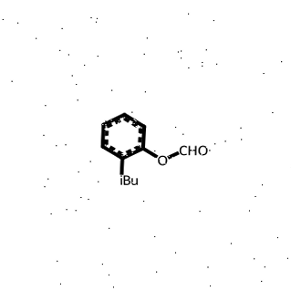 CCC(C)c1ccccc1O[C]=O